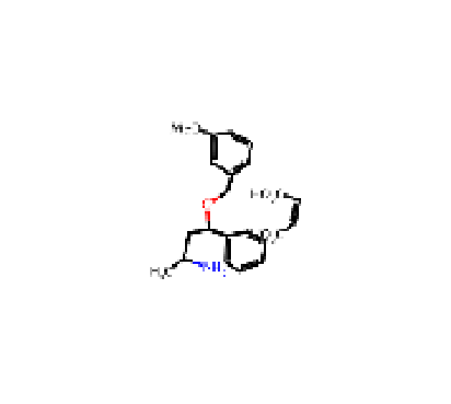 COc1cccc(COC(CC(C)N)c2ccccc2)c1.O=C(O)/C=C\C(=O)O